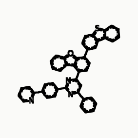 c1ccc(-c2cc(-c3ccc(-c4ccc5sc6ccccc6c5c4)c4oc5ccccc5c34)nc(-c3ccc(-c4ccccn4)cc3)n2)cc1